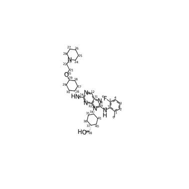 Cc1cccc(F)c1Nc1nc2cnc(N[C@H]3CC[C@H](OCCN4CCCCC4)CC3)nc2n1[C@H]1CC[C@@H](CO)CC1